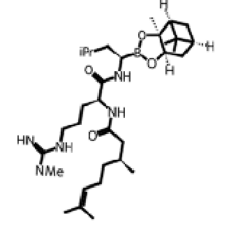 CNC(=N)NCCC[C@H](NC(=O)C[C@@H](C)CCC=C(C)C)C(=O)N[C@@H](CC(C)C)B1O[C@@H]2C[C@@H]3C[C@@H](C3(C)C)[C@]2(C)O1